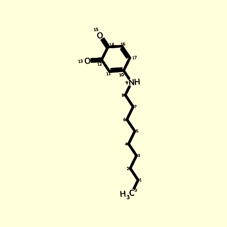 CCCCCCCCCNC1=CC(=O)C(=O)C=C1